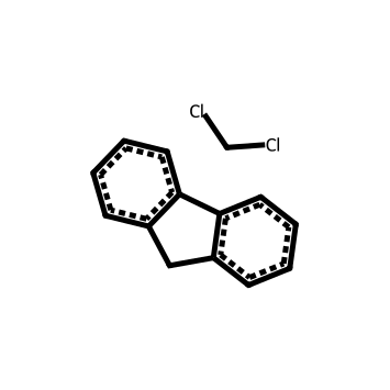 ClCCl.c1ccc2c(c1)Cc1ccccc1-2